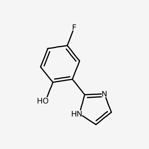 Oc1ccc(F)cc1-c1ncc[nH]1